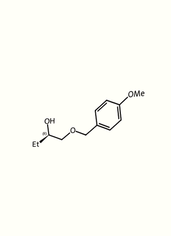 CC[C@@H](O)COCc1ccc(OC)cc1